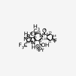 CC(C)OC(O)C1=CN(C(=O)c2ccc(F)cc2)CC(C)(C)c2c1[nH]c1c(C(F)(F)F)nsc21